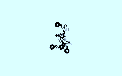 Cc1c(C(=O)NC(CCCCNC(=O)OCc2ccccc2)C(=O)N(C)C#N)c2cc(OCc3ccccc3)ccc2n1Cc1ccccc1